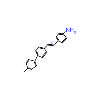 Cc1ccc(-c2ccc(/C=C/c3ccc(N)cc3)cc2)cc1